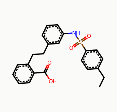 CCc1ccc(S(=O)(=O)Nc2cccc(CCc3ccccc3C(=O)O)c2)cc1